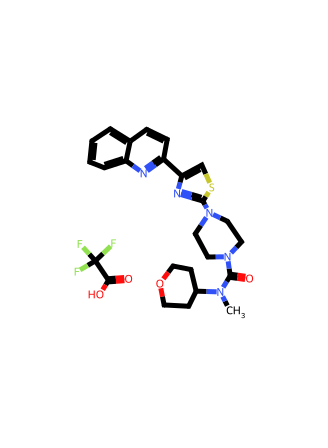 CN(C(=O)N1CCN(c2nc(-c3ccc4ccccc4n3)cs2)CC1)C1CCOCC1.O=C(O)C(F)(F)F